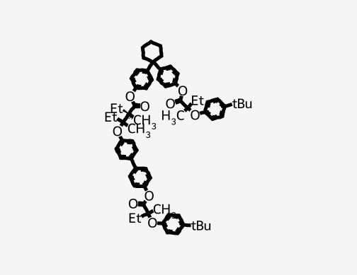 CCC(C)(Oc1ccc(C(C)(C)C)cc1)C(=O)Oc1ccc(-c2ccc(OC(C)(CC)[C@](C)(CC)C(=O)Oc3ccc(C4(c5ccc(OC(=O)C(C)(CC)Oc6ccc(C(C)(C)C)cc6)cc5)CCCCC4)cc3)cc2)cc1